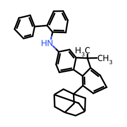 CC1(C)c2cc(Nc3ccccc3-c3ccccc3)ccc2-c2c(C34CC5CC(CC(C5)C3)C4)cccc21